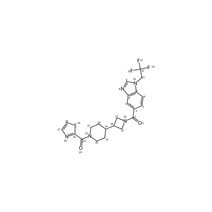 O=C(c1ccc2c(c1)ncn2CC(F)(F)F)N1CC(C2CCN(C(=O)c3nccs3)CC2)C1